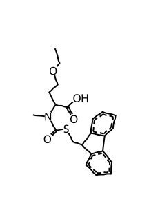 CCOCCC(C(=O)O)N(C)C(=O)SCC1c2ccccc2-c2ccccc21